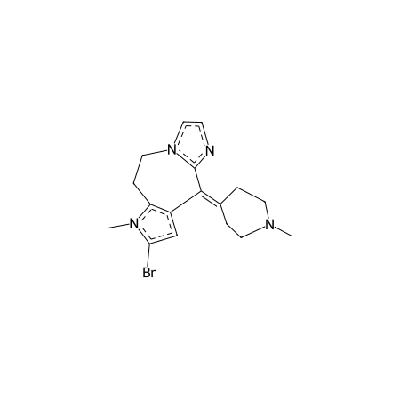 CN1CCC(=C2c3cc(Br)n(C)c3CCn3ccnc32)CC1